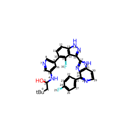 CC(C)(C)CC(O)Nc1cncc(-c2ccc3[nH]nc(-c4nc5c(-c6ccc(F)cc6)nccc5[nH]4)c3c2F)c1